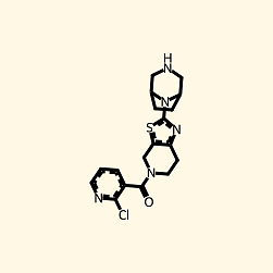 O=C(c1cccnc1Cl)N1CCc2nc(N3C4CCC3CNC4)sc2C1